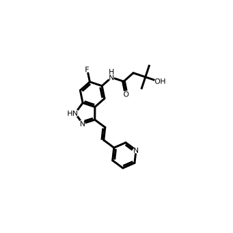 CC(C)(O)CC(=O)Nc1cc2c(C=Cc3cccnc3)n[nH]c2cc1F